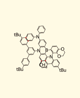 Cc1cc2c3c(c1)N(c1ccc(C(C)(C)C)cc1-c1ccccc1)c1c(ccc4c1OCCO4)B3c1ccc(N(c3ccccc3)c3ccccc3)cc1N2c1cc(-c2ccc(C(C)(C)C)cc2)cc(-c2ccc(C(C)(C)C)cc2)c1